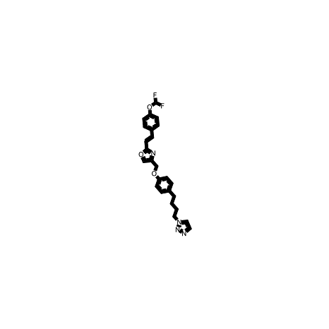 FC(F)Oc1ccc(C=Cc2nc(COc3ccc(CCCCn4ccnn4)cc3)co2)cc1